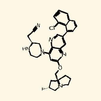 N#CC[C@H]1CN(c2cc(OC[C@@]34CCCN3C[C@H](F)C4)nc3cc(-c4cccc5cccc(Cl)c45)cnc23)CCN1